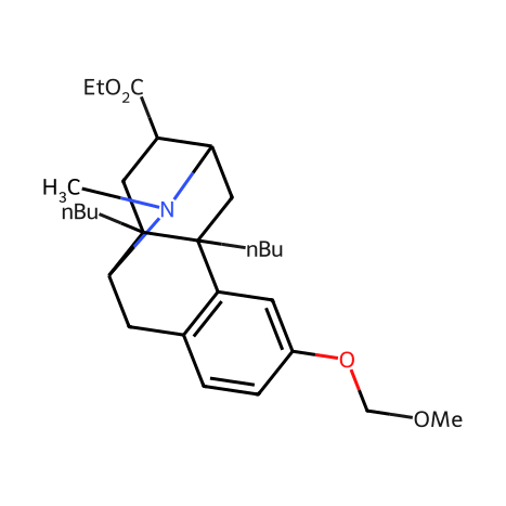 CCCCC12CC3C(C(=O)OCC)CC1(CCCC)C(Cc1ccc(OCOC)cc12)N3C